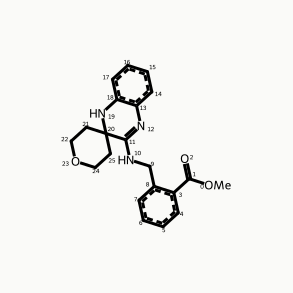 COC(=O)c1ccccc1CNC1=Nc2ccccc2NC12CCOCC2